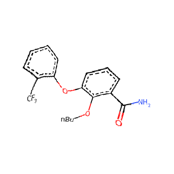 CCCCOc1c(Oc2ccccc2C(F)(F)F)cccc1C(N)=O